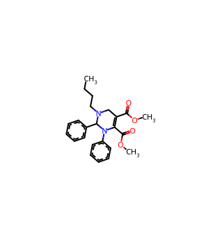 CCCCN1CC(C(=O)OC)=C(C(=O)OC)N(c2ccccc2)C1c1ccccc1